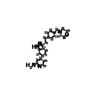 Nc1cc(-c2ccc3c(/C=C/c4ccc(CN5CCOCC5)cc4)n[nH]c3c2)ccn1